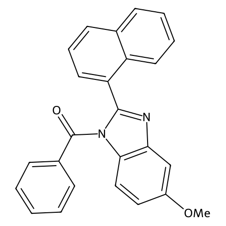 COc1ccc2c(c1)nc(-c1cccc3ccccc13)n2C(=O)c1ccccc1